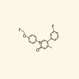 Cc1cc(=O)n(-c2ccc(OCF)cc2)cc1-c1cccc(F)c1